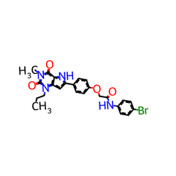 CCCn1c(=O)n(C)c(=O)c2[nH]c(-c3ccc(OCC(=O)Nc4ccc(Br)cc4)cc3)cc21